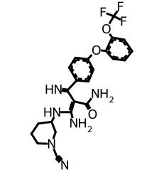 N#CN1CCCC(N/C(N)=C(\C(=N)c2ccc(Oc3ccccc3OC(F)(F)F)cc2)C(N)=O)C1